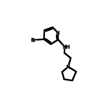 Brc1ccnc(NCCN2CCCC2)c1